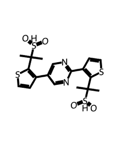 CC(C)(c1sccc1-c1cnc(-c2ccsc2C(C)(C)[SH](=O)=O)nc1)[SH](=O)=O